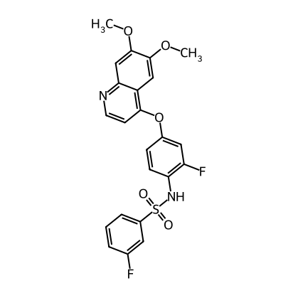 COc1cc2nccc(Oc3ccc(NS(=O)(=O)c4cccc(F)c4)c(F)c3)c2cc1OC